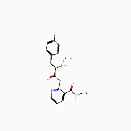 CC(C)(C)NC(=O)c1cccnc1CC(=O)C(Cc1ccc(Cl)cc1)NC(=O)O